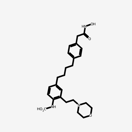 O=C(O)Nc1ccc(CCCCc2ccc(CC(=O)NO)cc2)cc1CCN1CCOCC1